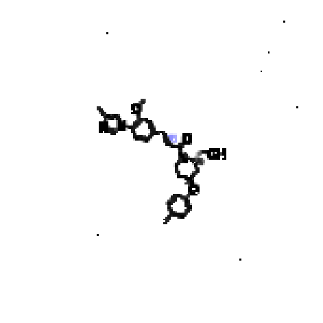 COc1cc(/C=C/C(=O)N2CC[C@H](Oc3ccc(C)cc3)C[C@H]2CO)ccc1-n1cnc(C)c1